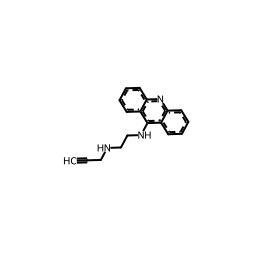 C#CCNCCNc1c2ccccc2nc2ccccc12